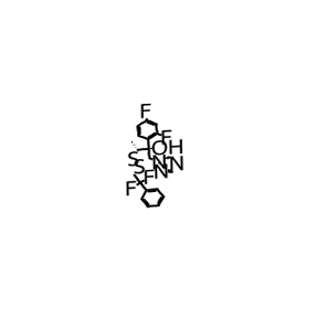 C[C@@H](SSCC(F)(F)c1ccccc1)[C@](O)(Cn1cncn1)c1ccc(F)cc1F